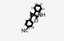 N#Cc1ccc(C2CC23C(=O)Nc2ccccc23)cc1